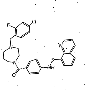 O=C(c1ccc(NSc2cccc3cccnc23)cc1)N1CCCN(Cc2ccc(Cl)cc2F)CC1